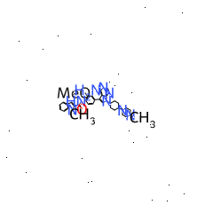 COc1cc(-c2cn(C3CCC(N4CCN(C)CC4)CC3)c3ncnc(N)c23)ccc1NC(=O)c1cc2ccccc2n1C